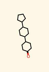 O=C1CCC(C2CCC(C3CCCC3)CC2)CC1